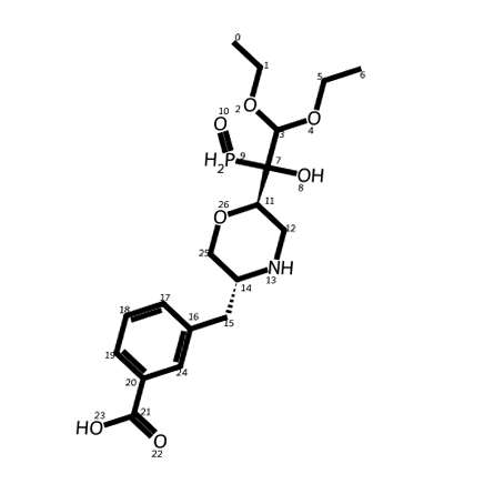 CCOC(OCC)C(O)([PH2]=O)[C@H]1CN[C@H](Cc2cccc(C(=O)O)c2)CO1